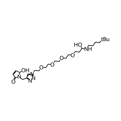 CC(C)(C)CCCCNC(O)CCOCCOCCOCCOCCn1cc(CN2C(=O)C=CC2O)nn1